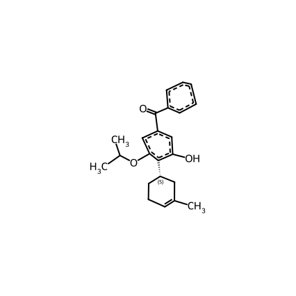 CC1=CCC[C@H](c2c(O)cc(C(=O)c3ccccc3)cc2OC(C)C)C1